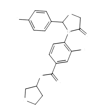 Cc1cc(C(=O)OC2CCOC2)ccc1N1C(=O)CSC1c1ccc(F)cc1